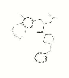 CC(C)CN(Cc1cc(Cl)c2c(c1)OCCCO2)C(=O)[C@@H]1CCN(Cc2cccnc2)C1